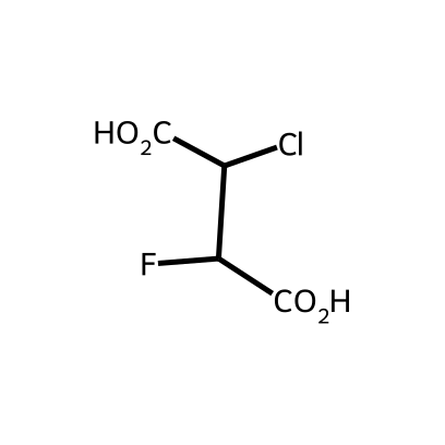 O=C(O)C(F)C(Cl)C(=O)O